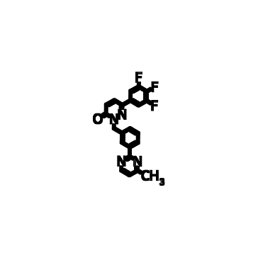 Cc1ccnc(-c2cccc(Cn3nc(-c4cc(F)c(F)c(F)c4)ccc3=O)c2)n1